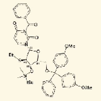 CCS[C@@H]1[C@H](O[Si](C)(C)C(C)(C)C)[C@@H](COC(c2ccccc2)(c2ccc(OC)cc2)c2ccc(OC)cc2)O[C@H]1n1ccc(=O)n(C(=O)c2ccccc2)c1=O